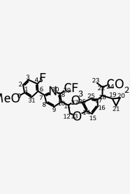 COc1ccc(F)c(-c2ccc(C3COc4ccc(C(C5CC5)C(C)C(=O)O)cc4O3)c(C(F)(F)F)n2)c1